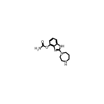 NC(=O)Oc1cccc2[nH]c(N3CCCNCC3)nc12